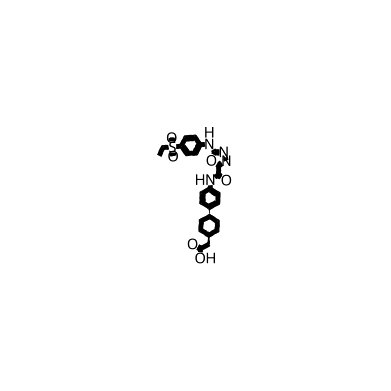 CCS(=O)(=O)c1ccc(Nc2nnc(C(=O)Nc3ccc([C@H]4CC[C@H](CC(=O)O)CC4)cc3)o2)cc1